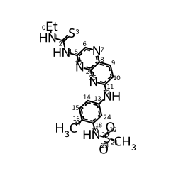 CCNC(=S)Nc1cnc2ccc(Nc3ccc(C)c(NS(C)(=O)=O)c3)nc2n1